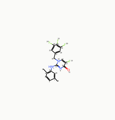 Cc1ccc(C)c(Nc2nc(=O)c(F)cn2Cc2cc(F)c(F)c(F)c2)c1